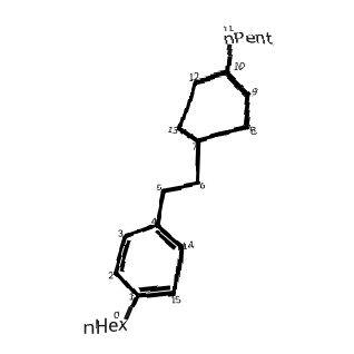 CCCCCCc1ccc(CCC2CCC(CCCCC)CC2)cc1